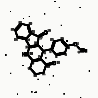 CC(C)(C)Oc1ccc(C2C3=C(CCCC3=O)NC3=C2C(=O)c2ccccc23)cc1